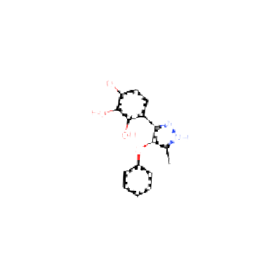 Cc1[nH]nc(-c2ccc(O)c(O)c2O)c1Oc1ccccc1